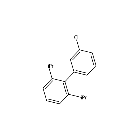 CC(C)c1cccc(C(C)C)c1-c1cccc(Cl)c1